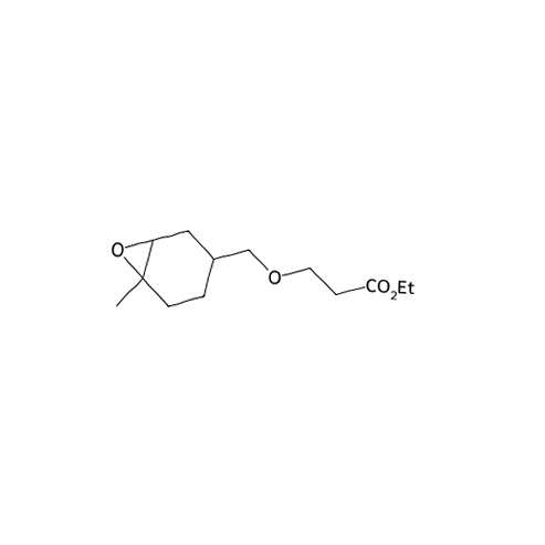 CCOC(=O)CCOCC1CCC2(C)OC2C1